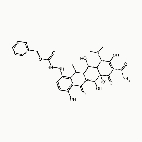 CC1c2c(NNC(=O)OCc3ccccc3)ccc(O)c2C(=O)C2=C(O)C3(O)C(=O)C(C(N)=O)=C(O)C(N(C)C)C3C(O)C21